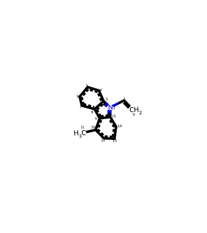 C=Cn1c2ccccc2c2c(C)cccc21